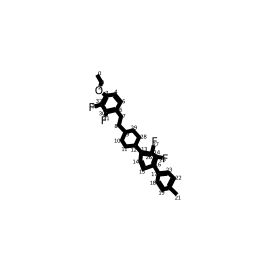 CCOc1ccc(CCC2CCC(c3ccc(-c4ccc(C)cc4)c(F)c3F)CC2)c(F)c1F